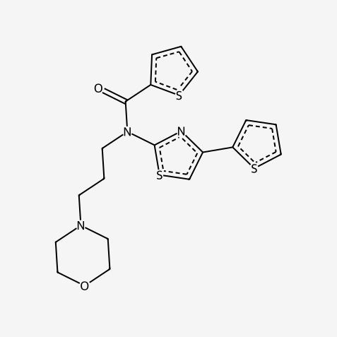 O=C(c1cccs1)N(CCCN1CCOCC1)c1nc(-c2cccs2)cs1